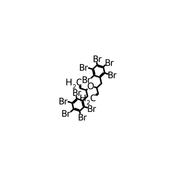 C=CC(Cc1c(Br)c(Br)c(Br)c(Br)c1Br)OC(C=C)Cc1c(Br)c(Br)c(Br)c(Br)c1Br